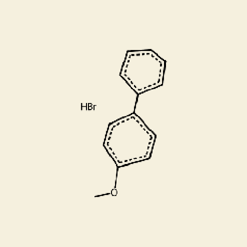 Br.COc1ccc(-c2ccccc2)cc1